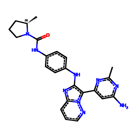 Cc1nc(N)cc(-c2c(Nc3ccc(NC(=O)N4CCC[C@@H]4C)cc3)nc3cccnn23)n1